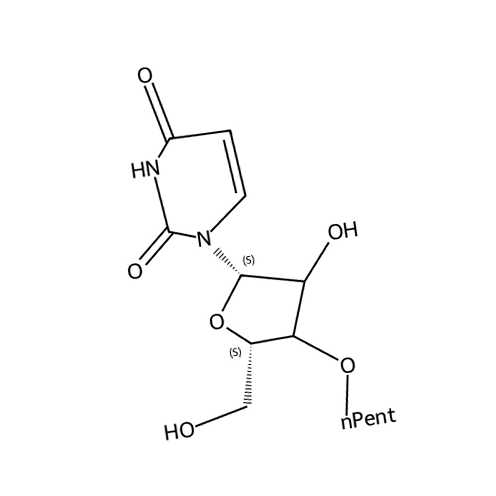 CCCCCOC1C(O)[C@@H](n2ccc(=O)[nH]c2=O)O[C@H]1CO